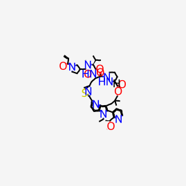 C=CC(=O)N1CCC(C(=O)N(C)[C@H](C(=O)N[C@H]2Cc3csc(n3)-c3ccc4c(n3)c(c(-c3cccnc3[C@H](C)OC)n4CC)CC(C)(C)COC(=O)[C@@H]3CCCN(N3)C2=O)C(C)C)C1